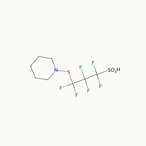 O=S(=O)(O)C(F)(F)C(F)(F)C(F)(F)SN1CCCCC1